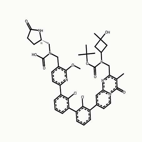 COc1nc(-c2cccc(-c3cccc(-c4ccn5c(=O)c(C)c(CN(C(=O)OC(C)(C)C)C6CC(C)(O)C6)nc5c4)c3Cl)c2Cl)ccc1CN(C[C@@H]1CCC(=O)N1)C(=O)O